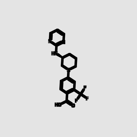 O=C(O)c1ccc(N2CCC[C@H](Nc3ncccn3)C2)cc1C(F)(F)F